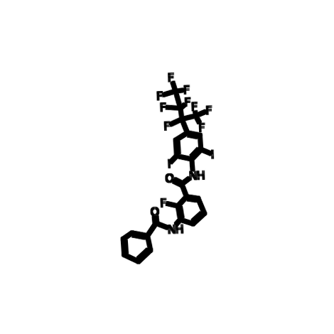 O=C(Nc1cccc(C(=O)Nc2c(I)cc(C(F)(C(F)(F)F)C(F)(F)C(F)(F)F)cc2I)c1F)c1ccccc1